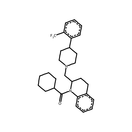 O=C(C1CCCCC1)N1c2ccccc2CCC1CN1CCC(c2ccccc2C(F)(F)F)CC1